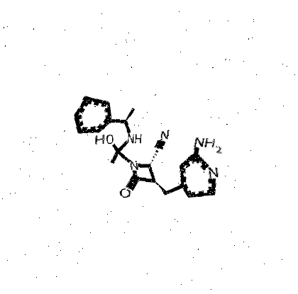 C[C@@H](NC(C)(O)N1C(=O)[C@H](Cc2ccnc(N)c2)[C@H]1C#N)c1ccccc1